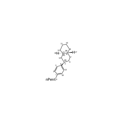 CCCCCc1ccc([C@@H]2CC[C@H]3CCCC[C@@H]3C2)cc1